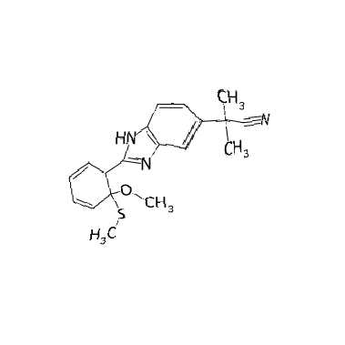 COC1(SC)C=CC=CC1c1nc2cc(C(C)(C)C#N)ccc2[nH]1